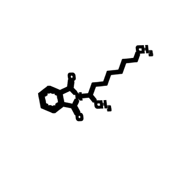 CCCCCCCC(C)N1C(=O)c2ccccc2C1=O